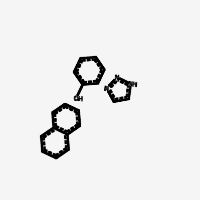 Oc1ccccc1.c1c[nH]nn1.c1ccc2ccccc2c1